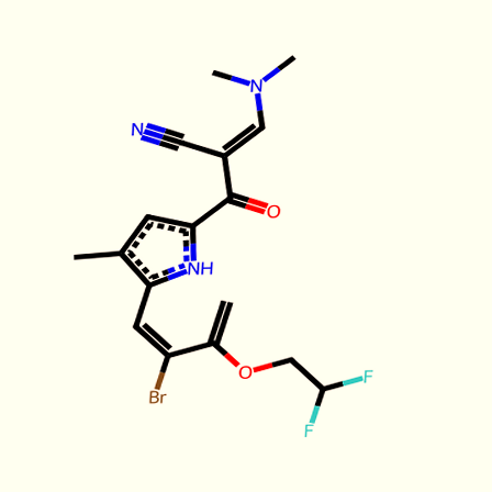 C=C(OCC(F)F)/C(Br)=C\c1[nH]c(C(=O)/C(C#N)=C/N(C)C)cc1C